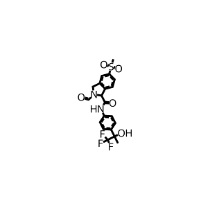 CC(O)(c1ccc(NC(=O)C2c3ccc(S(C)(=O)=O)cc3CN2C=O)cc1)C(F)(F)F